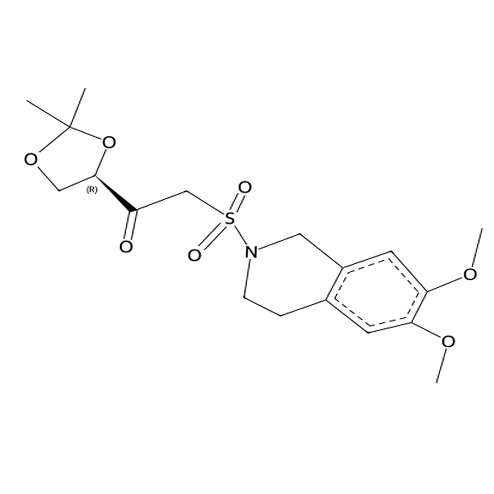 COc1cc2c(cc1OC)CN(S(=O)(=O)CC(=O)[C@H]1COC(C)(C)O1)CC2